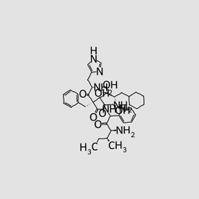 CC[C@H](C)[C@H](N)C(=O)C(NC(=O)[C@@](Cc1ccccc1)(C(=O)[C@@H](N)Cc1c[nH]cn1)[C@](O)(C(=O)CO)[C@H](O)[C@@H](N)CC1CCCCC1)c1ccccn1